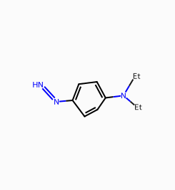 CCN(CC)c1ccc(N=N)cc1